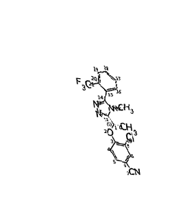 C[C@H](Oc1ccc(C#N)cc1Cl)c1nnc(-c2ccccc2C(F)(F)F)n1C